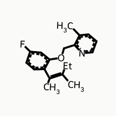 CC/C(C)=C(/C)c1ccc(F)cc1OCc1ncccc1C